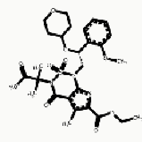 CCOC(=O)c1sc2c(c1C)C(=O)N(C(C)(C)C(=O)O)S(=O)(=O)N2C[C@H](OC1CCOCC1)c1ccccc1OC